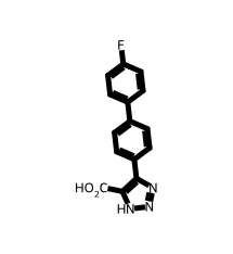 O=C(O)c1[nH]nnc1-c1ccc(-c2ccc(F)cc2)cc1